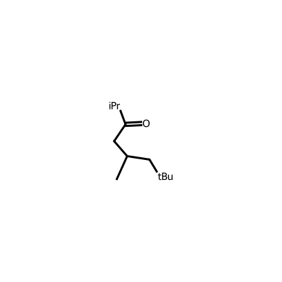 CC(CC(=O)C(C)C)CC(C)(C)C